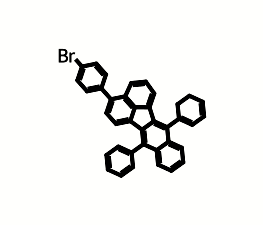 Brc1ccc(-c2ccc3c4c(cccc24)-c2c-3c(-c3ccccc3)c3ccccc3c2C2=CC=CCC2)cc1